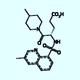 Cc1cnc2c(S(=O)(=O)N[C@@H](CCC(=O)O)C(=O)N3CCC(C)CC3)cccc2c1